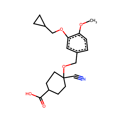 COc1ccc(COC2(C#N)CCC(C(=O)O)CC2)cc1OCC1CC1